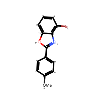 COc1ccc(-c2nc3c(Br)cccc3o2)cc1